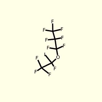 FC(F)(F)C(F)(I)OC(F)(F)C(F)(F)C(F)(F)F